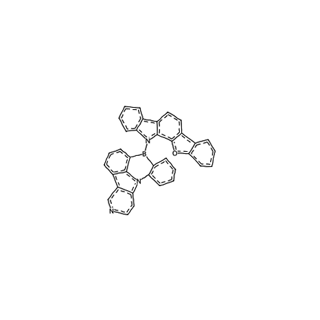 c1ccc2c(c1)B(n1c3ccccc3c3ccc4c5ccccc5oc4c31)c1cccc3c4cnccc4n-2c13